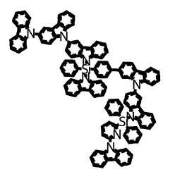 c1ccc([Si](c2ccccc2)(c2cccc(-n3c4ccccc4c4ccccc43)n2)n2c3ccccc3c3cc(-n4c5ccccc5c5ccc(-c6ccc([Si](c7ccccc7)(n7c8ccccc8c8ccccc87)n7c8ccccc8c8cc(-n9c%10ccccc%10c%10cc(-n%11c%12ccccc%12c%12ccccc%12%11)ccc%109)ccc87)cc6)cc54)ccc32)cc1